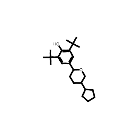 CC(C)(C)c1cc(C2CCC(C3CCCC3)CO2)cc(C(C)(C)C)c1O